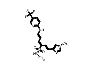 CNS(=O)(=O)C(/C=C/c1cn(C)cn1)=C/C=C/Nc1ccc(C(F)(F)F)cn1